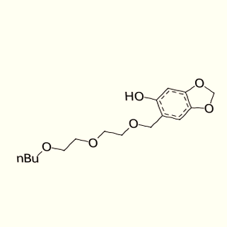 CCCCOCCOCCOCc1cc2c(cc1O)OCO2